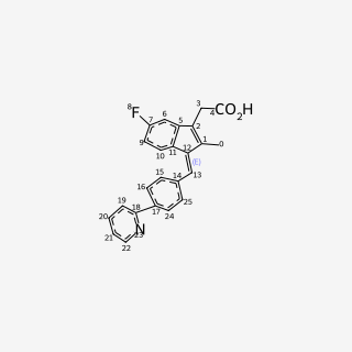 CC1=C(CC(=O)O)c2cc(F)ccc2/C1=C\c1ccc(-c2ccccn2)cc1